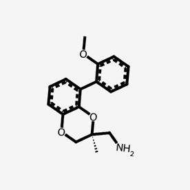 COc1ccccc1-c1cccc2c1O[C@@](C)(CN)CO2